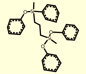 C[Si](CCC[Si](C)(Oc1ccccc1)c1ccccc1)(Oc1ccccc1)Oc1ccccc1